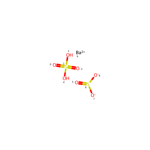 O=S(=O)(O)O.O=S([O-])[O-].[Ba+2]